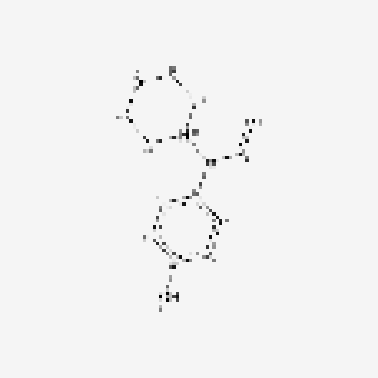 C=CC(c1ccc(O)cc1)N1CCOCC1